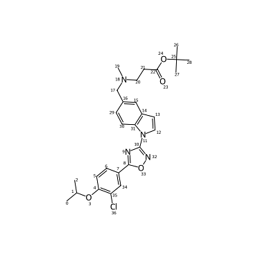 CC(C)Oc1ccc(-c2nc(-n3ccc4cc(CN(C)CCC(=O)OC(C)(C)C)ccc43)no2)cc1Cl